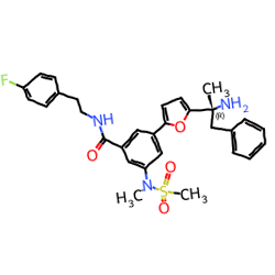 CN(c1cc(C(=O)NCCc2ccc(F)cc2)cc(-c2ccc([C@](C)(N)Cc3ccccc3)o2)c1)S(C)(=O)=O